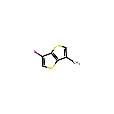 Cc1csc2c(I)csc12